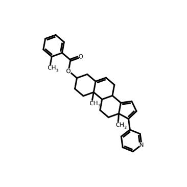 Cc1ccccc1C(=O)OC1CCC2(C)C(=CCC3C4=CC=C(c5cccnc5)C4(C)CCC32)C1